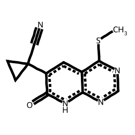 CSc1ncnc2[nH]c(=O)c(C3(C#N)CC3)cc12